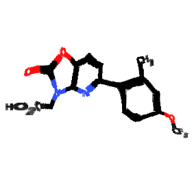 Cc1cc(OC(F)(F)F)ccc1-c1ccc2oc(=O)n(CC(=O)O)c2n1